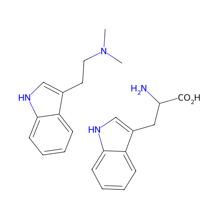 CN(C)CCc1c[nH]c2ccccc12.NC(Cc1c[nH]c2ccccc12)C(=O)O